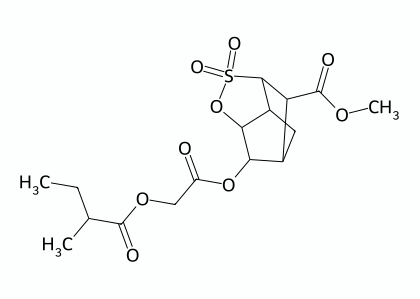 CCC(C)C(=O)OCC(=O)OC1C2CC3C1OS(=O)(=O)C3C2C(=O)OC